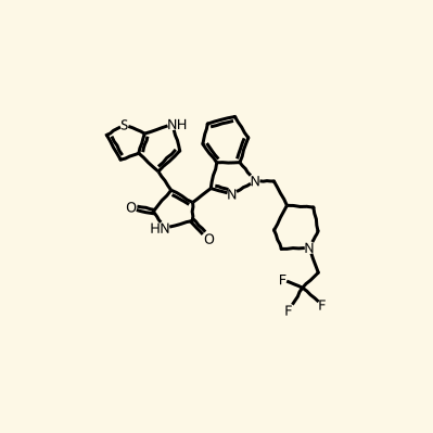 O=C1NC(=O)C(c2nn(CC3CCN(CC(F)(F)F)CC3)c3ccccc23)=C1c1c[nH]c2sccc12